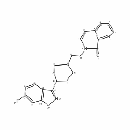 O=c1c2ncccc2ccn1CCN1CCC(c2noc3cc(F)ccc23)CC1